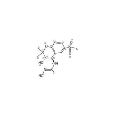 CC(=NC#N)N[C@@H]1c2cc(S(C)(=O)=O)ccc2OC(C)(C)[C@H]1O